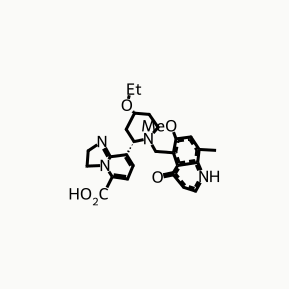 CCO[C@H]1CCN(Cc2c(OC)cc(C)c3[nH]ccc(=O)c23)[C@H](C2=CC=C(C(=O)O)N3CCN=C23)C1